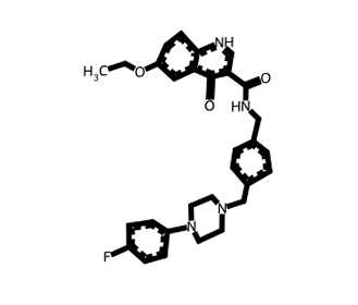 CCOc1ccc2[nH]cc(C(=O)NCc3ccc(CN4CCN(c5ccc(F)cc5)CC4)cc3)c(=O)c2c1